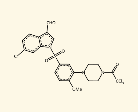 COc1ccc(S(=O)(=O)n2cc(C=O)c3ccc(Cl)cc32)cc1N1CCN(C(=O)C(Cl)(Cl)Cl)CC1